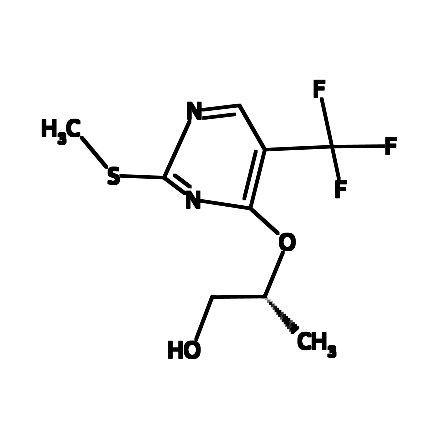 CSc1ncc(C(F)(F)F)c(O[C@H](C)CO)n1